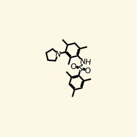 CC1=C(NS(=O)(=O)c2c(C)cc(C)cc2C)C(C)=C(N2CCCC2)C(C)C1